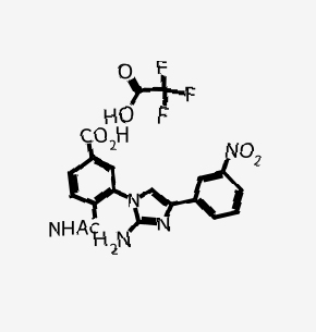 CC(=O)Nc1ccc(C(=O)O)cc1-n1cc(-c2cccc([N+](=O)[O-])c2)nc1N.O=C(O)C(F)(F)F